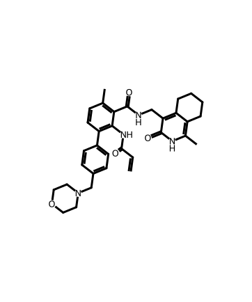 C=CC(=O)Nc1c(-c2ccc(CN3CCOCC3)cc2)ccc(C)c1C(=O)NCc1c2c(c(C)[nH]c1=O)CCCC2